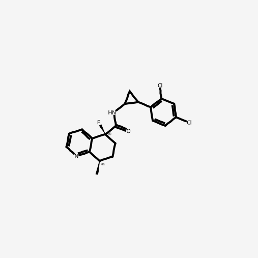 C[C@@H]1CC[C@@](F)(C(=O)NC2CC2c2ccc(Cl)cc2Cl)c2cccnc21